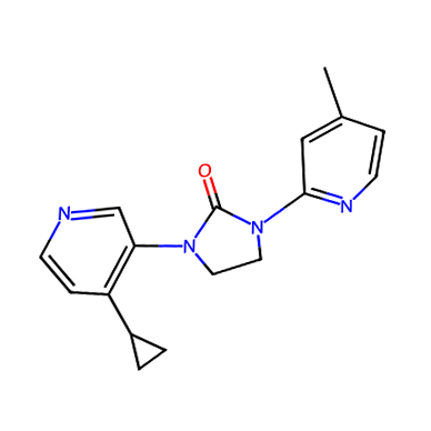 Cc1ccnc(N2CCN(c3cnccc3C3CC3)C2=O)c1